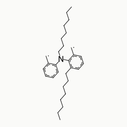 [CH2]c1ccccc1N(CCCCCCCC)c1c([CH2])cccc1CCCCCCCC